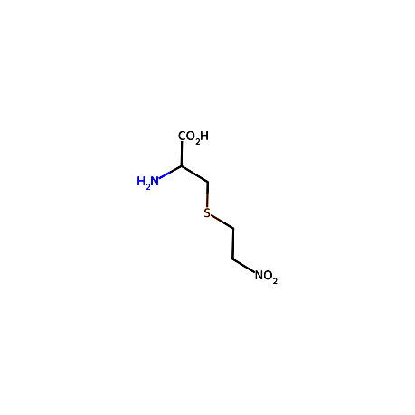 NC(CSCC[N+](=O)[O-])C(=O)O